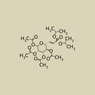 CC(=O)OC1O[C@H](/C=C/P(=O)(OC(C)C)OC(C)C)[C@@H](OC(C)=O)[C@H](OC(C)=O)[C@@H]1OC(C)=O